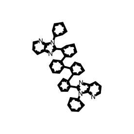 c1ccc(-n2c(-c3ccccc3-c3ccccc3-c3ccccc3-c3ccccc3-c3nc4cccnc4n3-c3ccccc3)nc3cccnc32)cc1